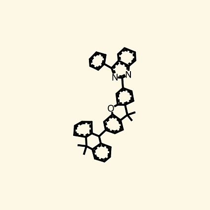 CC1(C)c2ccc(-c3nc(-c4ccccc4)c4ccccc4n3)cc2Oc2cc(C3c4ccccc4C(C)(C)c4ccccc43)ccc21